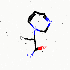 CCC(C(N)=O)N1C=CC=NC1